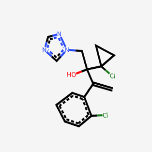 C=C(c1ccccc1Cl)C(O)(Cn1cncn1)C1(Cl)CC1